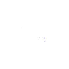 CCCSCCC(=O)NN